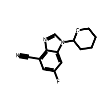 N#Cc1cc(F)cc2c1ncn2C1CCCCO1